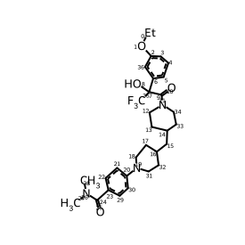 CCOc1cccc(C(O)(C(=O)N2CCC(CC3CCN(c4ccc(C(=O)N(C)C)cc4)CC3)CC2)C(F)(F)F)c1